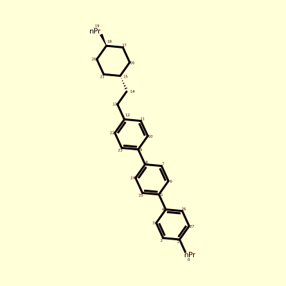 CCCc1ccc(-c2ccc(-c3ccc(CC[C@H]4CC[C@H](CCC)CC4)cc3)cc2)cc1